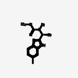 CCN(C(=O)OC(C)(C)C)[C@H](c1nc2ccc(C)cc2[nH]1)C(C)C